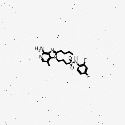 CCCCc1nc2c(N)ncc(C)c2n1CCCS(=O)(=O)Nc1ccc(F)cc1F